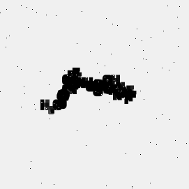 COc1ccc(Cn2ncc(NCCO[C@@H]3CCN([C@H]4CCN(c5ncc(C(F)(F)F)cn5)C[C@H]4O)C3=O)c(C(F)(F)F)c2=O)cc1